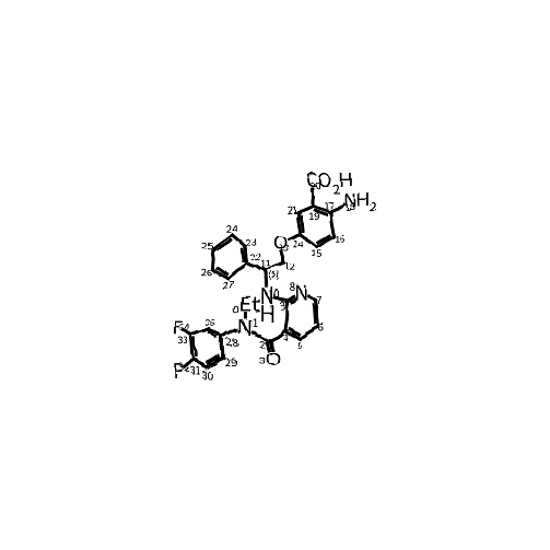 CCN(C(=O)c1cccnc1N[C@H](COc1ccc(N)c(C(=O)O)c1)c1ccccc1)c1ccc(F)c(F)c1